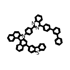 c1ccc(-c2cccc(-c3ccc(-c4nc(-c5ccc(-n6c7ccc8ccccc8c7c7c8ccccc8c(-c8ccc9sc%10ccccc%10c9c8)cc76)cc5)nc5ccccc45)cc3)c2)cc1